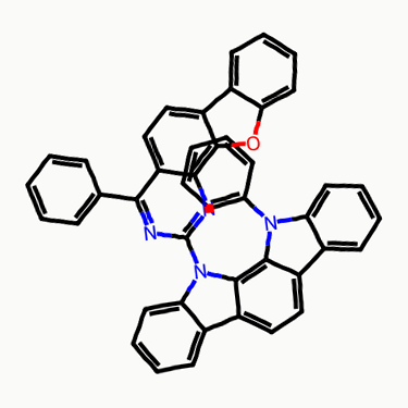 c1ccc(-c2nc(-n3c4ccccc4c4ccc5c6ccccc6n(-c6ccccc6)c5c43)nc3c2ccc2c4ccccc4oc23)cc1